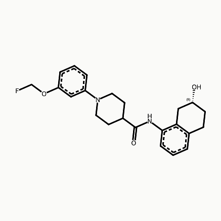 O=C(Nc1cccc2c1C[C@H](O)CC2)C1CCN(c2cccc(OCF)c2)CC1